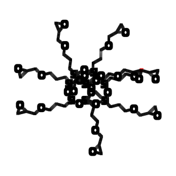 C(COCC1CO1)C[Si]12O[Si]3(CCCOCC4CO4)O[Si]4(CCCOCC5CO5)O[Si](CCCOCC5CO5)(O1)O[Si]1(CCCOCC5CO5)O[Si](CCCOCC5CO5)(O2)O[Si](CCCOCC2CO2)(O3)O[Si](CCCOCC2CO2)(O4)O1